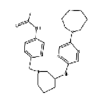 CC(=O)Nc1ccc(CN2CCCC(Nc3cnc(N4CCCCCC4)cn3)C2)cc1